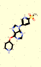 CS(=O)(=O)c1ccc(-n2cnc3c(OC4CCNCC4)ncnc32)cn1